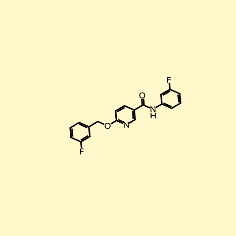 O=C(Nc1cccc(F)c1)c1ccc(OCc2cccc(F)c2)nc1